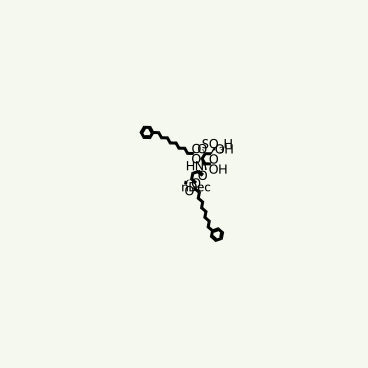 CCCCCCCCCCC[C@H](CC(=O)N[C@@]1(C)[C@H](O)O[C@H](CO)[C@@H](OS(=O)(=O)O)[C@@H]1OC(=O)CCCCCCCCc1ccccc1)OC(=O)CCCCCCCCc1ccccc1